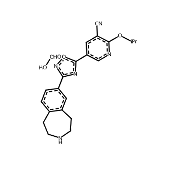 CC(C)Oc1ncc(-c2nc(-c3ccc4c(c3)CCNCC4)no2)cc1C#N.O=CO